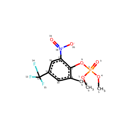 COP(=O)(OC)Oc1c(C)cc(C(F)(F)F)cc1[N+](=O)[O-]